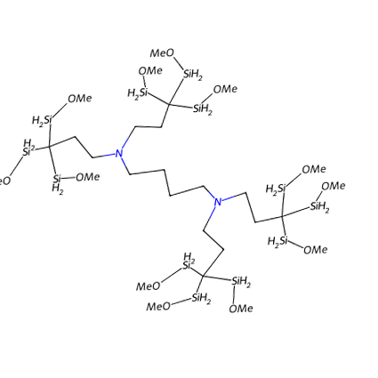 CO[SiH2]C(CCN(CCCCN(CCC([SiH2]OC)([SiH2]OC)[SiH2]OC)CCC([SiH2]OC)([SiH2]OC)[SiH2]OC)CCC([SiH2]OC)([SiH2]OC)[SiH2]OC)([SiH2]OC)[SiH2]OC